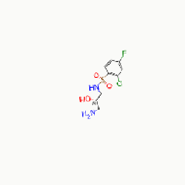 NC[C@H](O)CNS(=O)(=O)c1ccc(F)cc1Cl